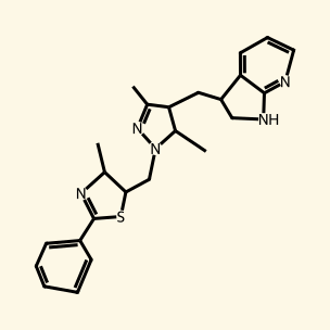 CC1=NN(CC2SC(c3ccccc3)=NC2C)C(C)C1CC1CNc2ncccc21